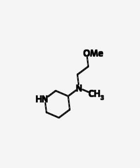 COCCN(C)C1CCCNC1